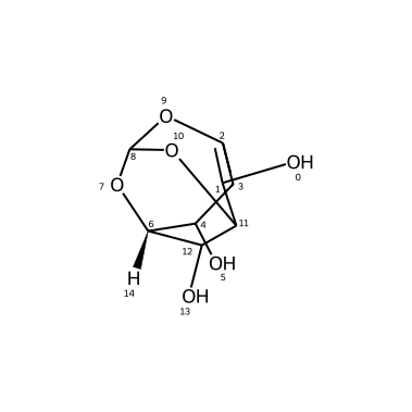 OC1=C2CC(O)[C@H]3OC(O2)OC1C3O